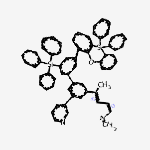 C=N/C=C\C=C(/C)c1cc(-c2cccnc2)cc(-c2cc(-c3cccc4c3Oc3ccccc3[Si]4(c3ccccc3)c3ccccc3)cc([Si](c3ccccc3)(c3ccccc3)c3ccccc3)c2)c1